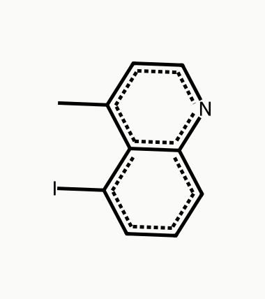 Cc1ccnc2cccc(I)c12